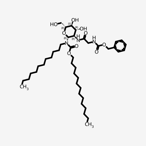 CCCCCCCCCCCCCCOC(=O)N(CCCCCCCCCCCC)[C@@H]1O[C@H](CO)[C@@H](O)[C@H](O)[C@H]1NC(=O)CNC(=O)OCc1ccccc1